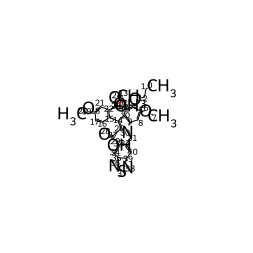 CCCOc1c(OC)cc2c(c1OC)c(-c1ccc(OC)cc1C(=O)O)c(C(=O)O)n2Cc1ccc2nsnc2c1